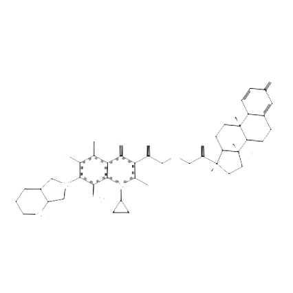 COc1c(N2CC3CCCNC3C2)c(F)c(C)c2c(=O)c(C(=O)COCC(=O)[C@@]3(O)CC[C@H]4[C@@H]5CCC6=CC(=O)C=C[C@]6(C)[C@H]5[C@@H](O)C[C@@]43C)c(C)n(C3CC3)c12